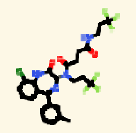 Cc1cccc(C2=N[C@@H](N(CCC(F)(F)F)C(=O)CCC(=O)NCCC(F)(F)F)C(=O)Nc3c(Cl)cccc32)c1